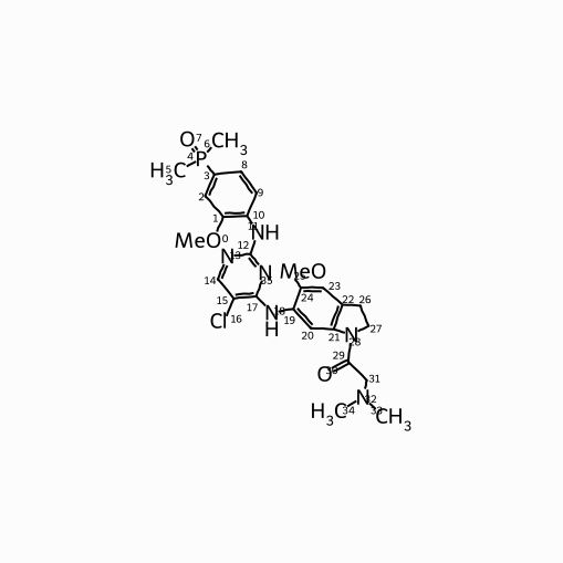 COc1cc(P(C)(C)=O)ccc1Nc1ncc(Cl)c(Nc2cc3c(cc2OC)CCN3C(=O)CN(C)C)n1